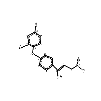 CCN(CC)CC=C(C)c1ccc(Oc2ccc(Cl)cc2Cl)cc1